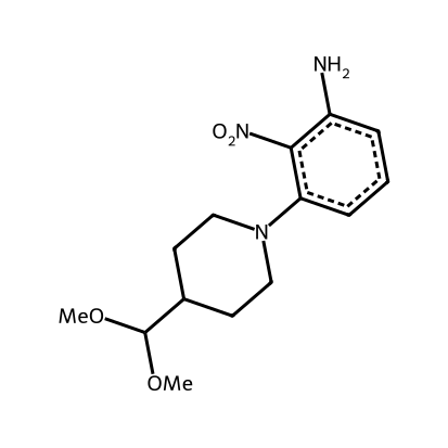 COC(OC)C1CCN(c2cccc(N)c2[N+](=O)[O-])CC1